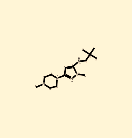 CN1CCN(c2cc(NCC(C)(C)C)n(C)n2)CC1